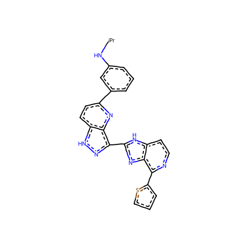 CC(C)Nc1cccc(-c2ccc3[nH]nc(-c4nc5c(-c6cccs6)nccc5[nH]4)c3n2)c1